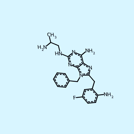 CC(N)CNc1nc(N)c2nc(Cc3cc(F)ccc3N)n(Cc3ccccc3)c2n1